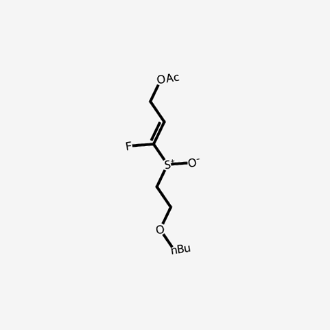 CCCCOCC[S+]([O-])C(F)=CCOC(C)=O